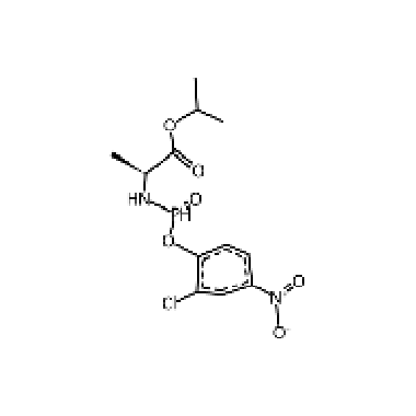 CC(C)OC(=O)[C@H](C)N[PH](=O)Oc1ccc([N+](=O)[O-])cc1Cl